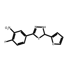 O=[N+]([O-])c1cc(C2=NNC(c3ccco3)S2)ccc1F